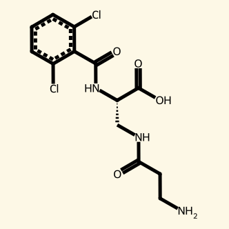 NCCC(=O)NC[C@H](NC(=O)c1c(Cl)cccc1Cl)C(=O)O